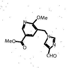 COC(=O)c1cnc(OC)c(Cn2cnc(C=O)c2)c1